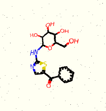 O=C(c1ccccc1)c1cnc(NC2OC(CO)C(O)C(O)C2O)s1